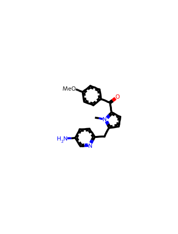 COc1ccc(C(=O)c2ccc(Cc3ccc(N)cn3)n2C)cc1